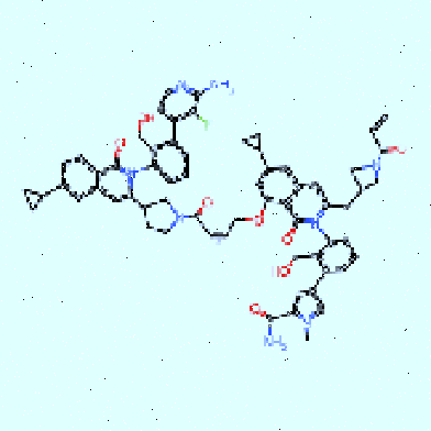 C=CC(=O)N1CC(Cc2cc3cc(C4CC4)cc(OC/C=C\C(=O)N4CCC(c5cc6cc(C7CC7)ccc6c(=O)n5-c5cccc(-c6ccnc(N)c6F)c5CO)C4)c3c(=O)n2-c2cccc(-c3cc(C(N)=O)n(C)c3)c2CO)C1